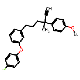 C#CC(C)(CCCc1cccc(Oc2ccc(F)cc2)c1)c1ccc(OCC)cc1